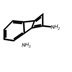 N.Nc1cc2c3ccccc3c1-2